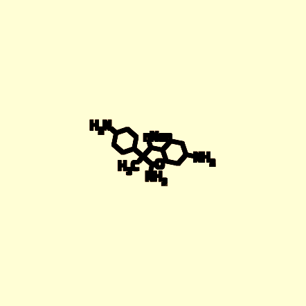 CCCCCCCCCC(C1CCC(N)CC1)C(C)(C(N)=O)C1CCC(N)CC1